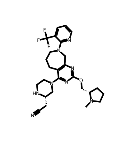 CN1CCC[C@H]1COc1nc2c(c(N3CCN[C@@H](CC#N)C3)n1)CCCN(c1ncccc1C(F)(F)F)C2